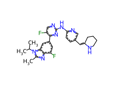 Cc1nc2c(F)cc(-c3nc(Nc4ccc(/C=C5\CCCCN5)cn4)ncc3F)cc2n1C(C)C